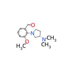 COc1cccc(C=O)c1N1CC[C@H](N(C)C)C1